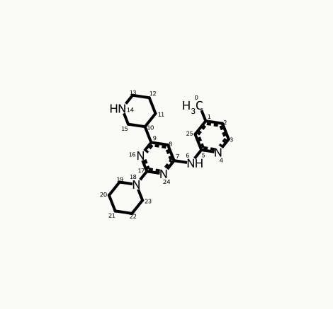 Cc1ccnc(Nc2cc(C3CCCNC3)nc(N3CCCCC3)n2)c1